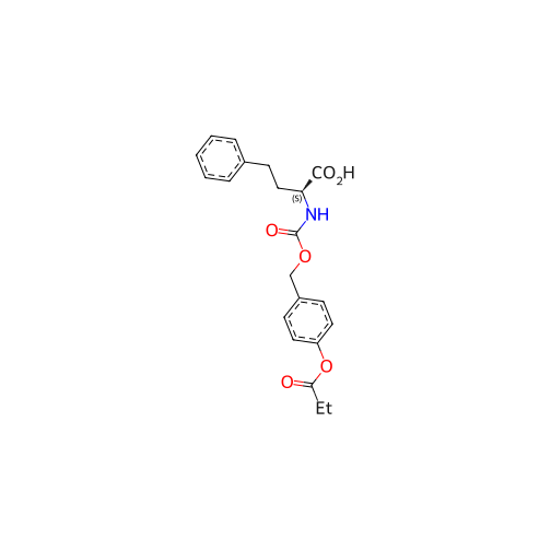 CCC(=O)Oc1ccc(COC(=O)N[C@@H](CCc2ccccc2)C(=O)O)cc1